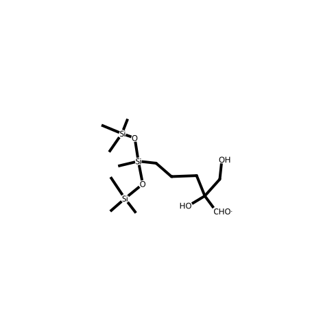 C[Si](C)(C)O[Si](C)(CCCC(O)([C]=O)CO)O[Si](C)(C)C